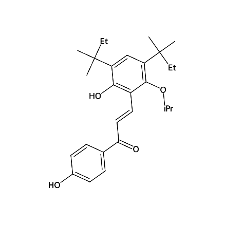 CCC(C)(C)c1cc(C(C)(C)CC)c(OC(C)C)c(C=CC(=O)c2ccc(O)cc2)c1O